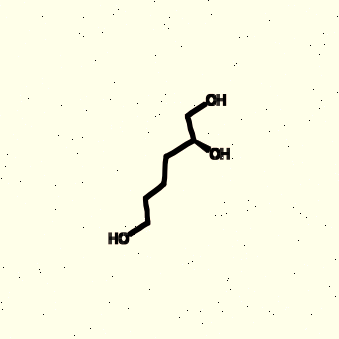 OCCCC[C@H](O)CO